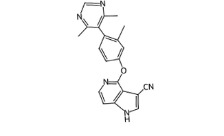 Cc1cc(Oc2nccc3[nH]cc(C#N)c23)ccc1-c1c(C)ncnc1C